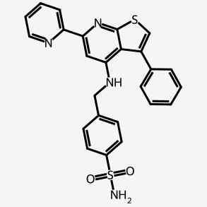 NS(=O)(=O)c1ccc(CNc2cc(-c3ccccn3)nc3scc(-c4ccccc4)c23)cc1